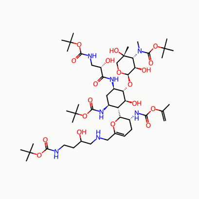 C=C(C)OC(=O)N[C@@H]1CC=C(CNCC(O)CCNC(=O)OC(C)(C)C)OC1[C@H]1[C@H](O)[C@@H](O[C@H]2OC[C@](C)(O)[C@H](N(C)C(=O)OC(C)(C)C)[C@H]2O)[C@H](NC(=O)[C@@H](O)CNC(=O)OC(C)(C)C)C[C@@H]1NC(=O)OC(C)(C)C